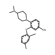 Cc1ccc(Sc2cc(C#N)ccc2N2CCC(N(C)C)CC2)c(C)c1